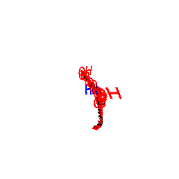 CCCCCCCCCCCCCCCCCC(=O)OCCCOP(=O)(O)OCCNC(=O)OCCOCCOCCOCCOCC(=O)O